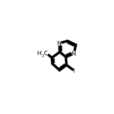 Cc1ccc(I)c2nccnc12